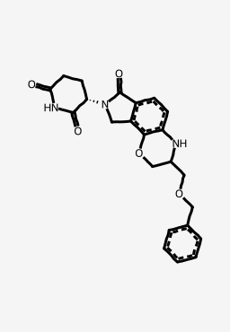 O=C1CC[C@H](N2Cc3c(ccc4c3OCC(COCc3ccccc3)N4)C2=O)C(=O)N1